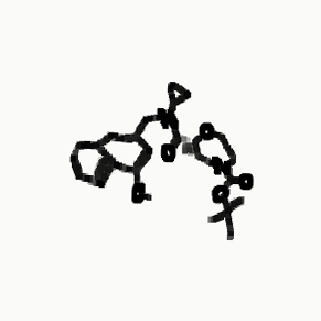 COc1cc(CN(C(=O)[C@H]2CN(C(=O)OC(C)(C)C)CCO2)C2CC2)cc2ccccc12